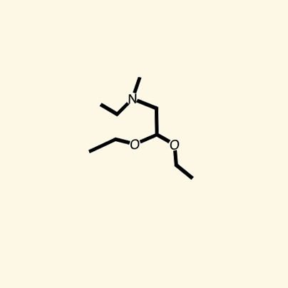 CCOC(CN(C)CC)OCC